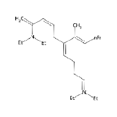 C=C(/C=C\CC(=C/CCC=[N+](CC)CC)/C(C)=C/CCC)N(CC)CC